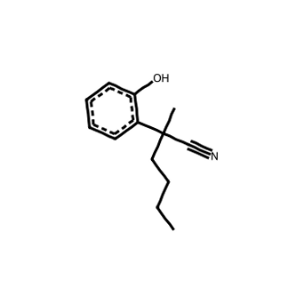 CCCCC(C)(C#N)c1ccccc1O